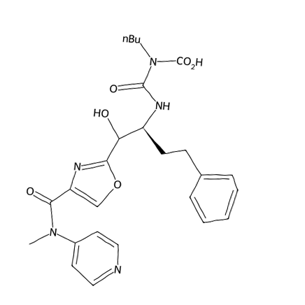 CCCCN(C(=O)O)C(=O)N[C@@H](CCc1ccccc1)C(O)c1nc(C(=O)N(C)c2ccncc2)co1